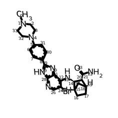 CN1CCN(c2ccc(-c3nc4c(N[C@@H]5[C@H]6CC[C@H](C6)[C@@H]5C(N)=O)c(Br)cnc4[nH]3)cc2)CC1